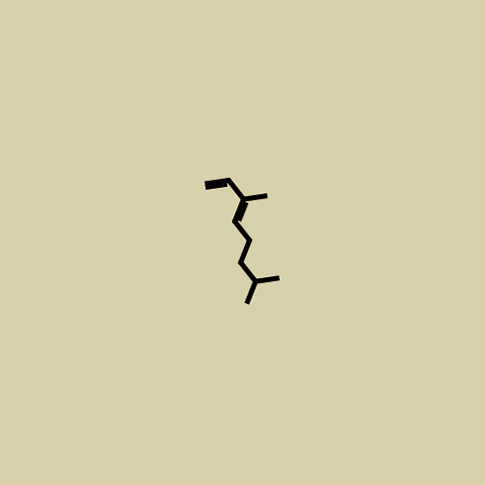 C=CC(C)=CCCC(C)C